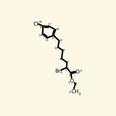 CCOC(=O)C(Br)CCCCCc1ccc(Cl)cc1